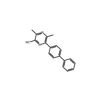 Cc1nc(C)c(-c2ccc(-c3ccccc3)cc2)nc1C#N